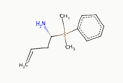 C=CC[C@H](N)S(C)(C)c1ccccc1